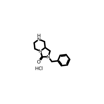 Cl.O=C1N(Cc2ccccc2)CC2CNCCN12